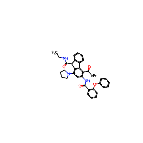 CCCC(=O)c1c(NC(=O)c2ccccc2Oc2ccccc2)cc(N2CCCC2)c2c1-c1ccccc1C2C(=O)NCC(F)(F)F